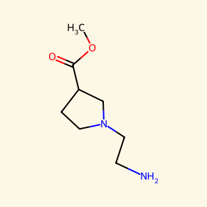 COC(=O)C1CCN(CCN)C1